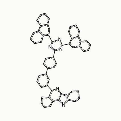 c1cc(-c2ccc(-c3nc(-c4cc5ccccc5c5ccccc45)nc(-c4cc5ccccc5c5ccccc45)n3)cc2)cc(-c2nc3c(nc4ccccn43)c3ccccc23)c1